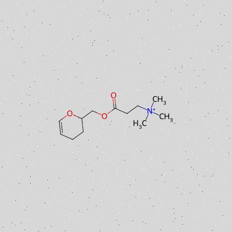 C[N+](C)(C)CCC(=O)OCC1CCC=CO1